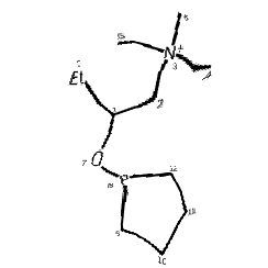 CCC(C[N+](C)(C)C)OP1CCCC1